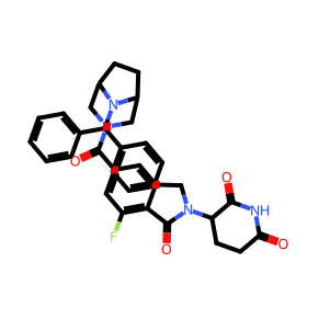 O=C1CCC(N2Cc3cc(C(=O)N4CC5CCC(C4)N5C(c4ccccc4)c4ccccc4)cc(F)c3C2=O)C(=O)N1